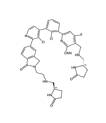 COc1nc(-c2cccc(-c3ccnc(-c4ccc5c(c4)CN(CCNC[C@H]4CCC(=O)N4)C5=O)c3Cl)c2Cl)cc(F)c1CNC[C@@H]1CCC(=O)N1